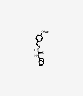 COc1ccc(C=NNC(=S)NC2CC3C=CC2C3)cc1